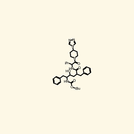 CC(C)C(NC(=O)C(Cc1ccccc1)CC(O)C(Cc1ccccc1)NC(=O)OC(C)(C)C)C(=O)N1CCC(n2cnnc2)CC1